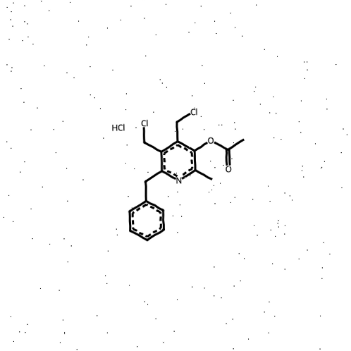 CC(=O)Oc1c(C)nc(Cc2ccccc2)c(CCl)c1CCl.Cl